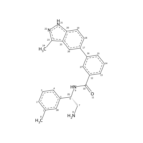 Cc1cccc([C@@H](CN)NC(=O)c2cccc(-c3ccc4[nH]nc(C)c4c3)c2)c1